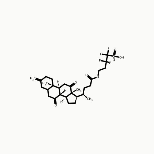 C=C1CC[C@@]2(C)C(C1)CC(=O)[C@H]1[C@@H]3CC[C@H]([C@H](C)CCC(=O)OCCC(F)(F)C(F)(F)S(=O)(=O)O)[C@@]3(C)C(=O)C[C@@H]12